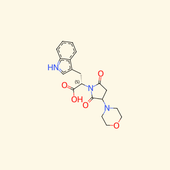 O=C(O)[C@H](Cc1c[nH]c2ccccc12)N1C(=O)CC(N2CCOCC2)C1=O